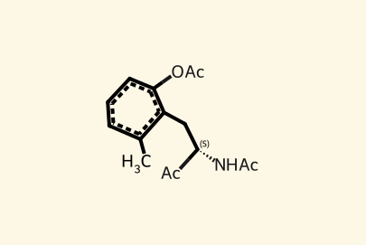 CC(=O)N[C@@H](Cc1c(C)cccc1OC(C)=O)C(C)=O